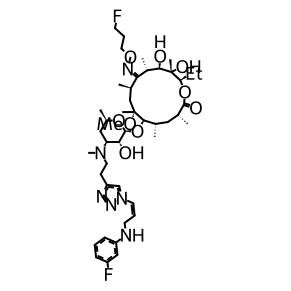 CC[C@H]1OC(=O)[C@H](C)C[C@H](C)[C@@H](O[C@@H]2O[C@H](C)C[C@H](N(C)CCc3cn(/C=C\CNc4cccc(F)c4)nn3)[C@H]2O)[C@](C)(OC)C[C@@H](C)/C(=N/OCCCF)[C@H](C)[C@@H](O)[C@]1(C)O